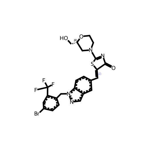 O=C1N=C(N2CCO[C@@H](CO)C2)S/C1=C\c1ccc2c(cnn2Cc2ccc(Br)cc2C(F)(F)F)c1